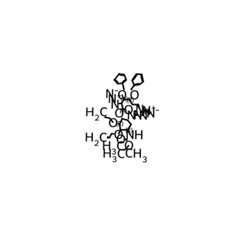 C=CCOC1[C@@H](OCC=C)C(O[C@H]2OC(CN=[N+]=[N-])[C@@H](OCc3ccccc3)[C@H](OCc3ccccc3)C2N=[N+]=[N-])C(N=[N+]=[N-])C[C@H]1NC(=O)OC(C)(C)C